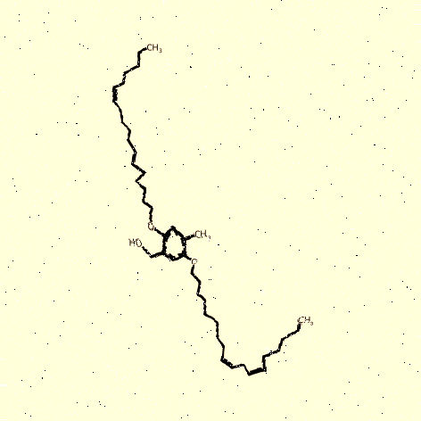 CCCCC/C=C\C/C=C\CCCCCCCCOc1cc(CO)c(OCCCCCCCCCCC/C=C\CCCCC)cc1C